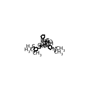 CCN(CC)c1ccc(NC2(NC(C)=O)C(=O)N(c3ccccc3)N=C2NC(=O)Cc2cc(C)c(C)c(C)c2)cc1